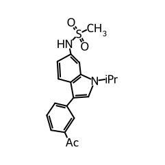 CC(=O)c1cccc(-c2cn(C(C)C)c3cc(NS(C)(=O)=O)ccc23)c1